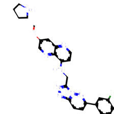 Fc1cc(F)cc(-c2ccc3nnc(CNc4ccnc5cc(OC[C@@H]6CCCN6)cnc45)n3n2)c1